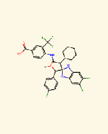 COC(c1ccc(F)cc1)C1(C(C(=O)Nc2ccc(C(=O)O)cc2C(F)(F)F)C2CCCCC2)Nc2cc(F)c(F)cc2N1